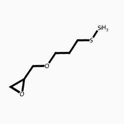 [SiH3]SCCCOCC1CO1